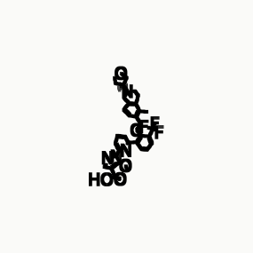 COc1c(C(=O)O)cnn1-c1cccc(-c2cccc(C(F)(F)F)c2OCc2ccc3c(c2C)CCN([C@@H]2CCOC2)C3)n1